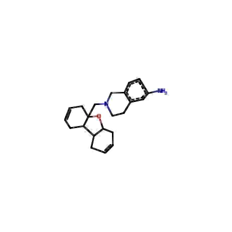 Nc1ccc2c(c1)CCN(CC13CC=CCC1C1CC=CCC1O3)C2